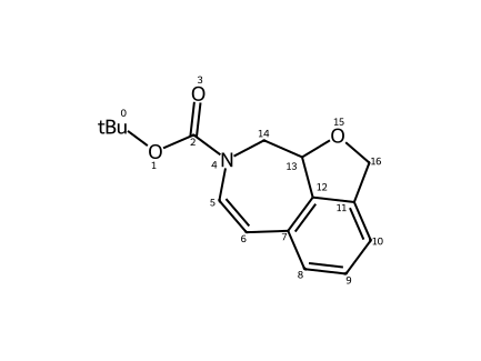 CC(C)(C)OC(=O)N1C=Cc2cccc3c2C(C1)OC3